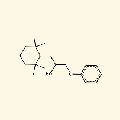 CC1(C)C[CH]CC(C)(C)N1CC(O)COc1ccccc1